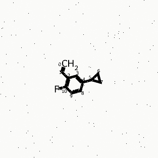 C=Cc1cc(C2CC2)ccc1F